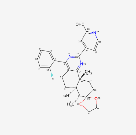 C[C@@H]1[C@H]2CCc3c(-c4ccccc4F)nc(-c4ccnc(C=O)c4)nc3[C@]2(C)CCC12OCCO2